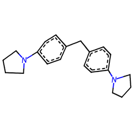 c1cc(N2CCCC2)ccc1Cc1ccc(N2CCCC2)cc1